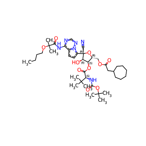 CCCCOC(C)(C)C(=O)Nc1ncnn2c([C@]3(C#N)O[C@H](COC(=O)CC4CCCCCC4)[C@@H](OC(=O)[C@@H](NC(=O)OC(C)(C)C)C(C)(C)C)[C@H]3O)ccc12